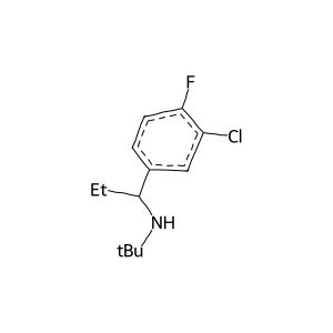 CCC(NC(C)(C)C)c1ccc(F)c(Cl)c1